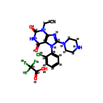 N#CCn1c(=O)[nH]c(=O)c2c1nc(N1CCNCC1)n2-c1ccccc1Cl.O=C(O)C(F)(F)F